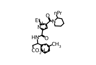 CCCC1CCCCN1C(=O)c1cc(C(=O)NC(CC(=O)O)c2cccc(C)c2)nn1CC